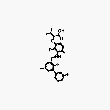 Cc1cc(CNc2c(F)ccc(OC(C(=O)O)C(C)C)c2F)c(F)c(-c2cccc(F)c2)c1